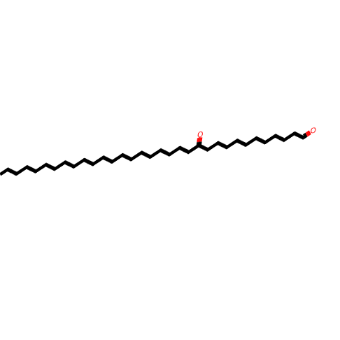 CCCCCCCCCCCCCCCCCCCCCC(=O)CCCCCCCCCCC=O